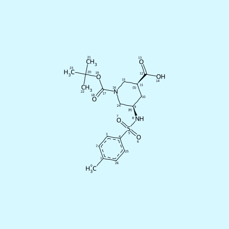 Cc1ccc(S(=O)(=O)N[C@@H]2C[C@H](C(=O)O)CN(C(=O)OC(C)(C)C)C2)cc1